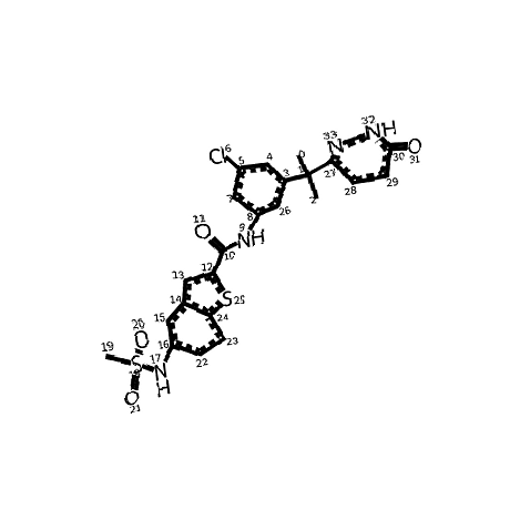 CC(C)(c1cc(Cl)cc(NC(=O)c2cc3cc(NS(C)(=O)=O)ccc3s2)c1)c1ccc(=O)[nH]n1